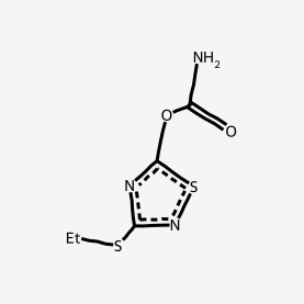 CCSc1nsc(OC(N)=O)n1